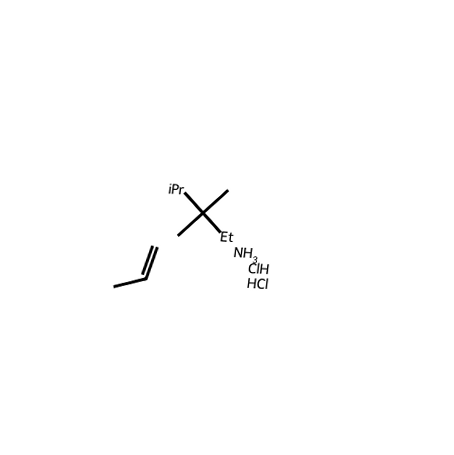 C=CC.CCC(C)(C)C(C)C.Cl.Cl.N